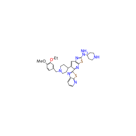 CCOc1cc(CN2CCC(c3cc4nc(N(N)C5CCNCC5)sc4nc3-c3nc4cccnc4s3)CC2)ccc1OC